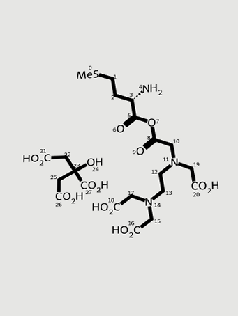 CSCC[C@H](N)C(=O)OC(=O)CN(CCN(CC(=O)O)CC(=O)O)CC(=O)O.O=C(O)CC(O)(CC(=O)O)C(=O)O